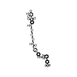 CS(=O)(=O)c1ccc(-c2cccc3nc(Nc4ccc(N5CCN(CC(=O)NCCOCCOCCOCCNc6ccc7c(c6)C(=O)N(C6CCC(=O)NC6=O)C7=O)CC5)cc4)nn23)cc1